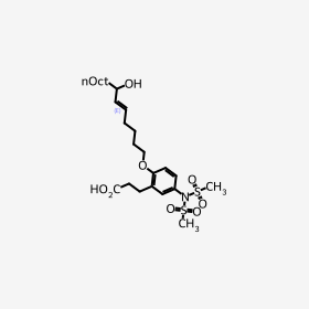 CCCCCCCCC(O)/C=C/CCCCOc1ccc(N(S(C)(=O)=O)S(C)(=O)=O)cc1CCC(=O)O